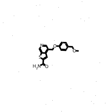 COCc1ccc(OCc2cncc3sc(C(N)=O)cc23)cc1